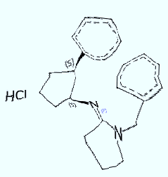 Cl.c1ccc(CN2CCC/C2=N\[C@H]2CCC[C@H]2c2ccccc2)cc1